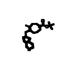 C[C@H]1CCN(C(=O)OC(C)(C)C)CCCN1Cc1ccc2cnccc2c1